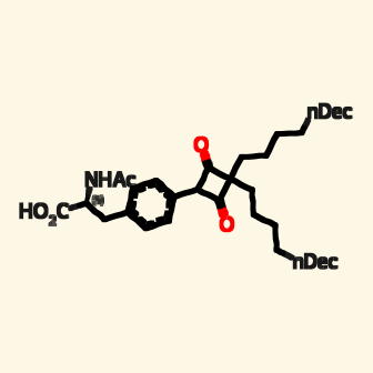 CCCCCCCCCCCCCCC1(CCCCCCCCCCCCCC)C(=O)C(c2ccc(C[C@H](NC(C)=O)C(=O)O)cc2)C1=O